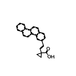 O=C(O)C1(C=Cc2ccc3ccc4c5ccccc5ccc4c3c2)CC1